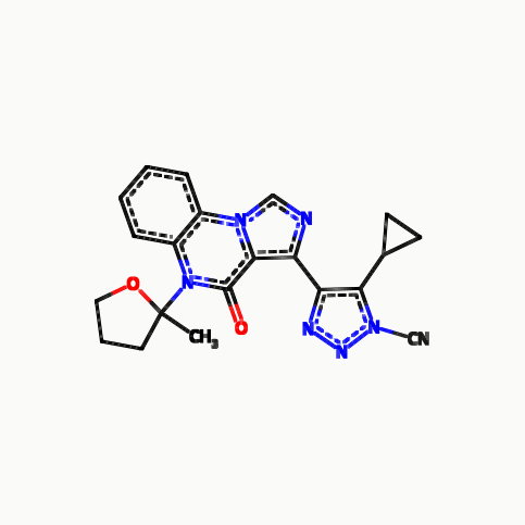 CC1(n2c(=O)c3c(-c4nnn(C#N)c4C4CC4)ncn3c3ccccc32)CCCO1